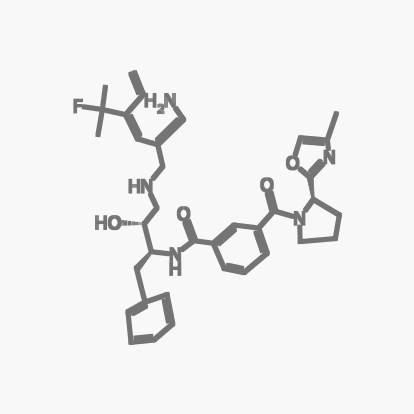 C=C/C(=C\C(=C/N)CNC[C@@H](O)[C@H](Cc1ccccc1)NC(=O)c1cccc(C(=O)N2CCC[C@@H]2c2nc(C)co2)c1)C(C)(C)F